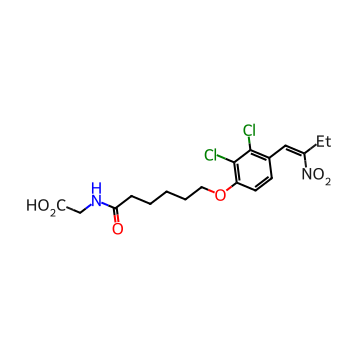 CCC(=Cc1ccc(OCCCCCC(=O)NCC(=O)O)c(Cl)c1Cl)[N+](=O)[O-]